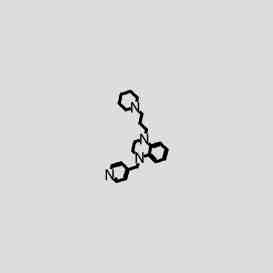 c1ccc2c(c1)N(CCCN1CCCCC1)CCN2Cc1ccncc1